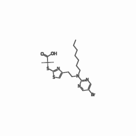 CCCCCCCN(CCc1csc(SC(C)(C)C(=O)O)n1)c1ncc(Br)cn1